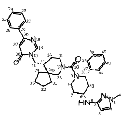 Cn1ccc(N[C@@H]2CCN(C(=O)N3CC[C@@H](Cn4cnc(-c5ccccc5)cc4=O)C4(CCCC4)C3)[C@H](c3ccccc3)C2)n1